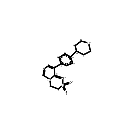 O=S1(=O)CCN2C=NC=C(c3ccc(C4CCOCC4)cc3)C2=N1